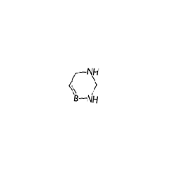 B1=CCNCN1